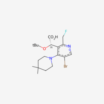 CC1(C)CCN(c2c(Br)cnc(CF)c2[C@H](OC(C)(C)C)C(=O)O)CC1